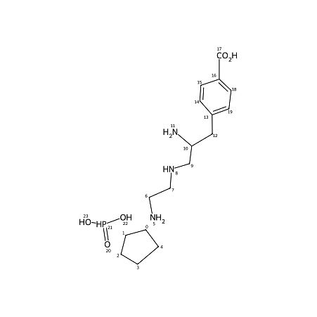 C1CCCC1.NCCNCC(N)Cc1ccc(C(=O)O)cc1.O=[PH](O)O